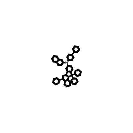 c1ccc(-c2ccc(N(c3ccc4c(c3)-c3cc(-c5ccccc5)c5ccccc5c3C4(c3ccccc3)c3ccccc3)c3ccc4ccccc4c3)cc2)cc1